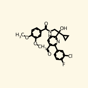 COc1ccc(C(=O)NCC(O)(c2ccc(C=O)c(-c3ccc(F)c(Cl)c3)n2)C2CC2)cc1OC